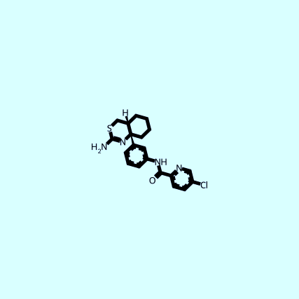 NC1=N[C@@]2(c3cccc(NC(=O)c4ccc(Cl)cn4)c3)CCCC[C@H]2CS1